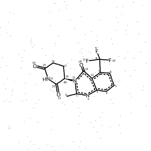 Cc1nc2cccc(C(F)(F)F)c2c(=O)n1[C@@H]1CCC(=O)NC1=O